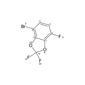 Fc1ccc(Br)c2c1OC(F)(F)O2